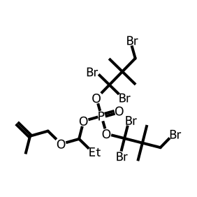 C=C(C)COC(CC)OP(=O)(OC(Br)(Br)C(C)(C)CBr)OC(Br)(Br)C(C)(C)CBr